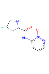 O=C(Nc1cccn[n+]1[O-])C1CC(F)CN1